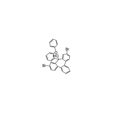 OC1(c2ccccc2Oc2ccccc2)c2cc(Br)ccc2-c2ccccc2-c2ccc(Br)cc21